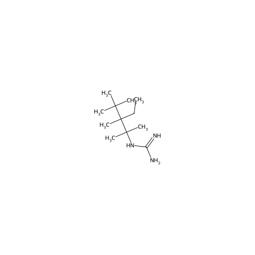 CCC(C)(C(C)(C)C)C(C)(C)NC(=N)N